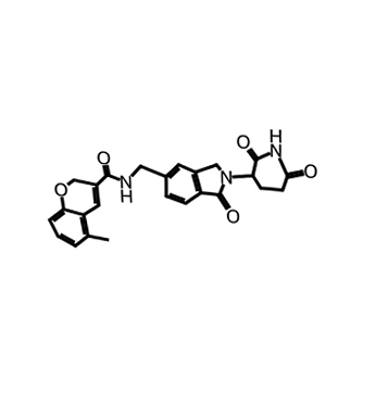 Cc1cccc2c1C=C(C(=O)NCc1ccc3c(c1)CN(C1CCC(=O)NC1=O)C3=O)CO2